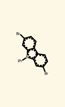 CC(C)n1c2cc(Br)ccc2c2ccc(Br)cc21